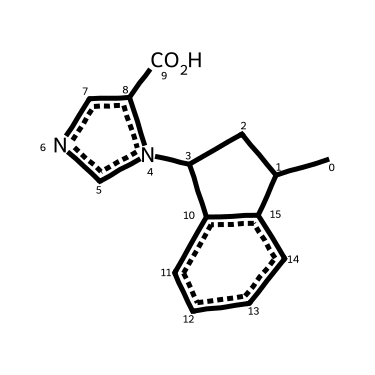 CC1CC(n2cncc2C(=O)O)c2ccccc21